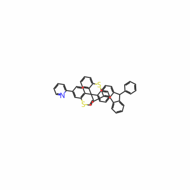 c1ccc(C2c3ccccc3-c3c(-c4cccc5c4C4(c6ccccc6Sc6ccccc64)c4ccc(-c6ccccn6)cc4S5)cccc32)cc1